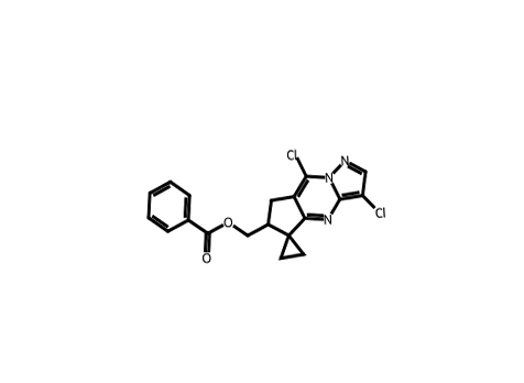 O=C(OCC1Cc2c(nc3c(Cl)cnn3c2Cl)C12CC2)c1ccccc1